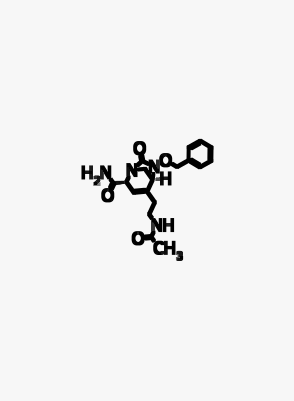 CC(=O)NCCC1=C[C@@H](C(N)=O)N2C[C@H]1N(OCc1ccccc1)C2=O